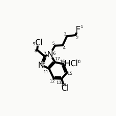 Cl.FCCCCn1c(CCl)nc2cc(Cl)ccc21